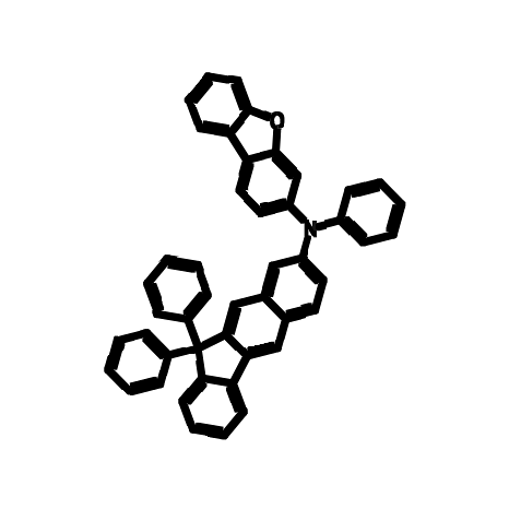 c1ccc(N(c2ccc3cc4c(cc3c2)C(c2ccccc2)(c2ccccc2)c2ccccc2-4)c2ccc3c(c2)oc2ccccc23)cc1